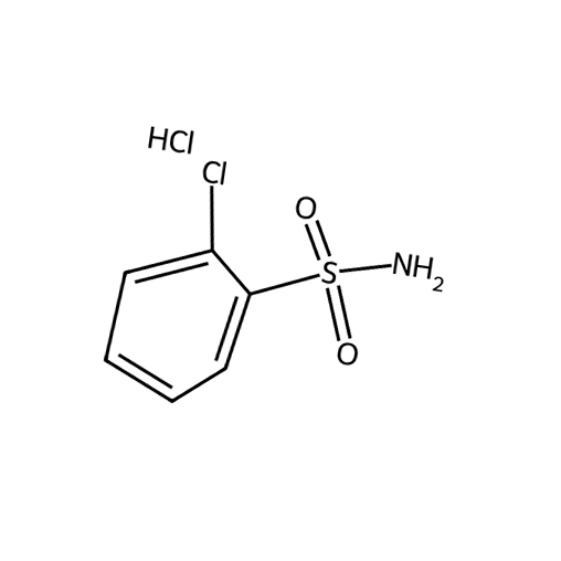 Cl.NS(=O)(=O)c1ccccc1Cl